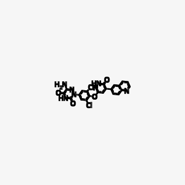 Nc1nn(-c2cc(Cl)c(Oc3cc(-c4ccc5ncccc5c4)c(=O)[nH]n3)c(Cl)c2)c(=O)[nH]c1=O